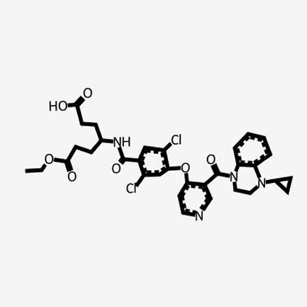 CCOC(=O)CCC(CCC(=O)O)NC(=O)c1cc(Cl)c(Oc2ccncc2C(=O)N2CCN(C3CC3)c3ccccc32)cc1Cl